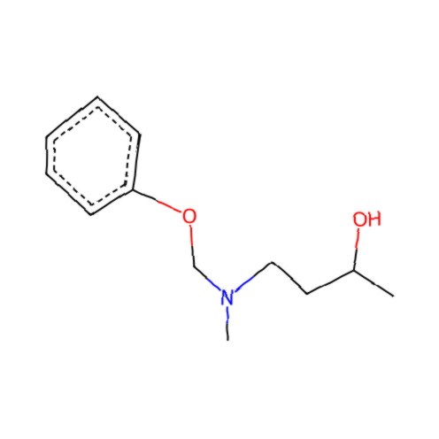 CC(O)CCN(C)COc1ccccc1